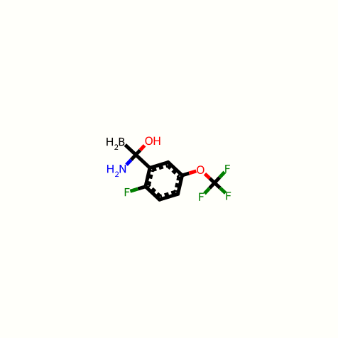 BC(N)(O)c1cc(OC(F)(F)F)ccc1F